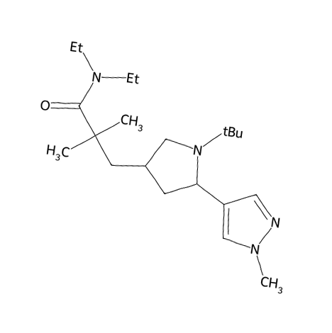 CCN(CC)C(=O)C(C)(C)CC1CC(c2cnn(C)c2)N(C(C)(C)C)C1